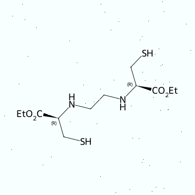 CCOC(=O)[C@H](CS)NCCN[C@@H](CS)C(=O)OCC